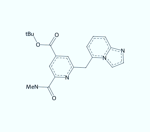 CNC(=O)c1cc(C(=O)OC(C)(C)C)cc(Cc2cccc3nccn23)n1